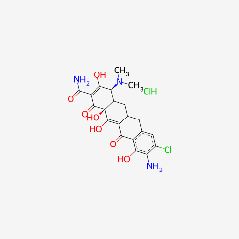 CN(C)[C@@H]1C(O)=C(C(N)=O)C(=O)[C@@]2(O)C(O)=C3C(=O)c4c(cc(Cl)c(N)c4O)CC3CC12.Cl